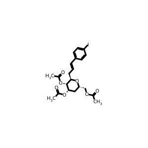 CC(=O)OC[C@@H]1C[C@H](OC(C)=O)[C@H](OC(C)=O)[C@@H](C/C=C/c2ccc(I)cc2)O1